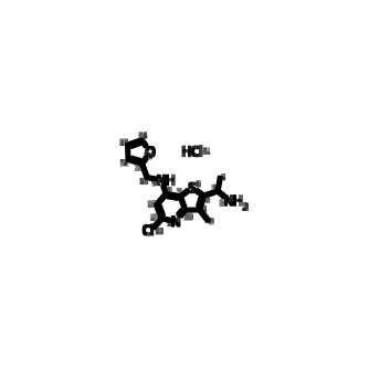 Cc1c(C(C)N)sc2c(NCc3ccco3)cc(Cl)nc12.Cl